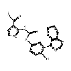 COC(=O)c1ccsc1NC(=S)Nc1ccc(Cl)c(-c2nccc3ccccc23)c1